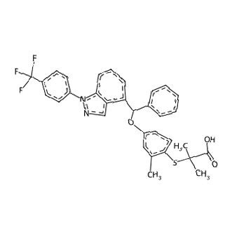 Cc1cc(OC(c2ccccc2)c2cccc3c2cnn3-c2ccc(C(F)(F)F)cc2)ccc1SC(C)(C)C(=O)O